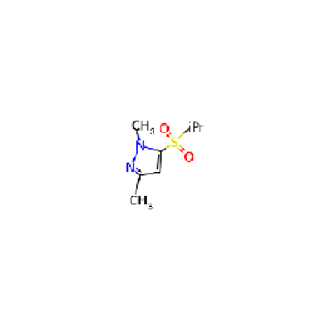 Cc1cc(S(=O)(=O)C(C)C)n(C)n1